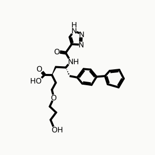 O=C(N[C@H](Cc1ccc(-c2ccccc2)cc1)C[C@@H](CCOCCCO)C(=O)O)c1c[nH]nn1